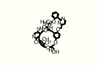 COC(=O)[C@H]1Cc2cc(ccc2OCc2ccnc(-c3ccccc3OC)n2)OC[C@H](CO)Oc2ccc(c(C)c2Cl)-c2c(Cl)ncc3snc(c23)O1